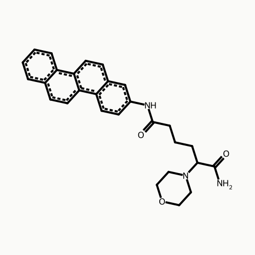 NC(=O)C(CCCC(=O)Nc1ccc2c(ccc3c4ccccc4ccc23)c1)N1CCOCC1